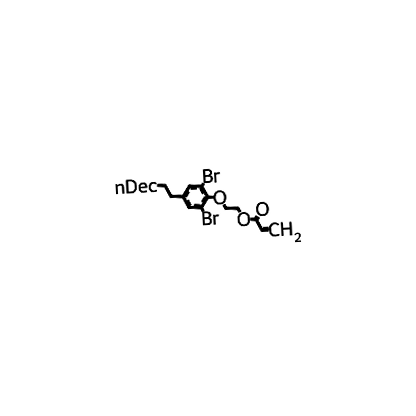 C=CC(=O)OCCOc1c(Br)cc(CCCCCCCCCCCC)cc1Br